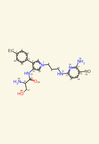 CCc1ccc(-c2cn(CCCNc3ccc(N=O)c(N)n3)cc2NC(=O)C(N)CO)cc1